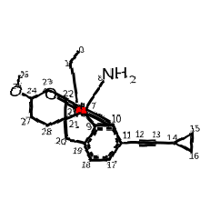 CCN1C(=O)C2(N=C1N)c1cc(C#CC3CC3)ccc1CC21CCC(OC)CC1